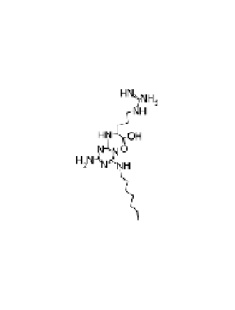 CCCCCCCNc1nc(N)nc(NC(CCCNC(=N)N)C(=O)O)n1